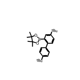 CC(C)(C)c1ccc(-c2ccc(C(C)(C)C)cc2B2OC(C)(C)C(C)(C)O2)cc1